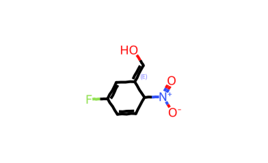 O=[N+]([O-])C1C=CC(F)=C/C1=C\O